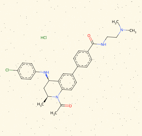 CC(=O)N1c2ccc(-c3ccc(C(=O)NCCN(C)C)cc3)cc2[C@H](Nc2ccc(Cl)cc2)C[C@@H]1C.Cl